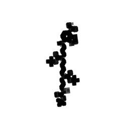 CN(CCCN(CCCCN(CCCNC(=O)OC(C)(C)C)C(=O)OC(C)(C)C)C(=O)OC(C)(C)C)c1ccc([N+](=O)[O-])c2nonc12